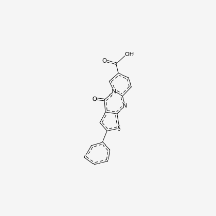 O=C(O)c1ccc2nc3sc(-c4ccccc4)cc3c(=O)n2c1